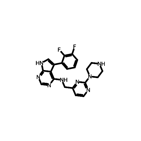 Fc1cccc(-c2c[nH]c3ncnc(NCc4ccnc(N5CCNCC5)n4)c23)c1F